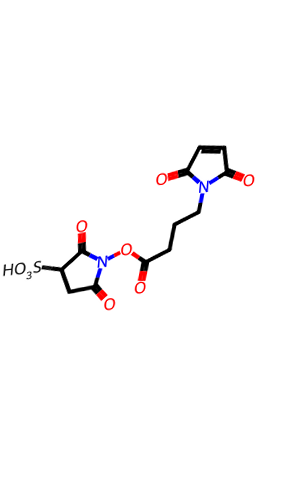 O=C(CCCN1C(=O)C=CC1=O)ON1C(=O)CC(S(=O)(=O)O)C1=O